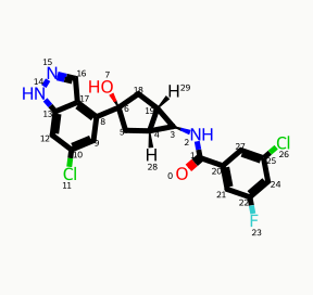 O=C(N[C@H]1[C@@H]2C[C@](O)(c3cc(Cl)cc4[nH]ncc34)C[C@@H]21)c1cc(F)cc(Cl)c1